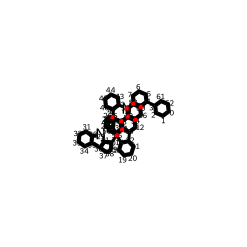 c1ccc(-c2cccc(N(c3ccc4c(c3)C3(c5ccccc5-4)c4ccccc4-n4c5ccccc5c5cccc3c54)c3ccccc3-c3ccccc3-c3ccccc3)c2)cc1